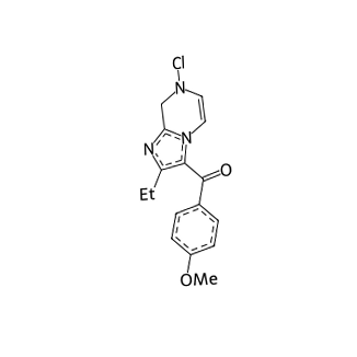 CCc1nc2n(c1C(=O)c1ccc(OC)cc1)C=CN(Cl)C2